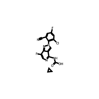 C1CC1.N#Cc1cc(F)cc(Cl)c1-n1cc2c(NC(=O)O)ncc(F)c2n1